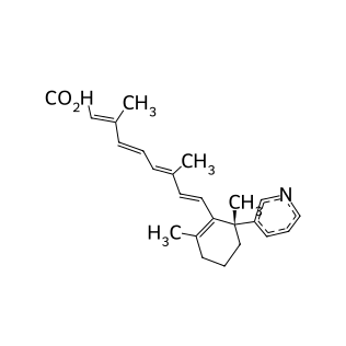 CC1=C(/C=C/C(C)=C/C=C/C(C)=C/C(=O)O)[C@](C)(c2cccnc2)CCC1